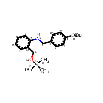 CC(C)COc1ccc(CNc2ccccc2CO[Si](C)(C)C(C)(C)C)cc1